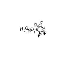 C=NOCc1c(F)c(F)cc(F)c1F